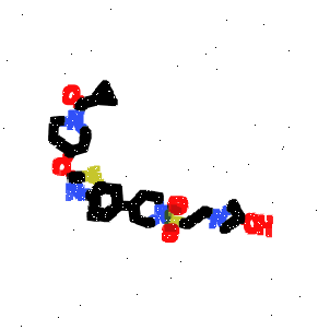 O=C(C1CC1)N1CCC(Oc2nc3ccc(C4=CCN(S(=O)(=O)CCN5CC(O)C5)CC4)cc3s2)CC1